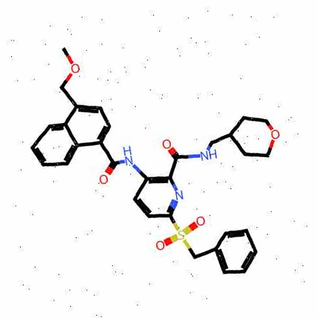 COCc1ccc(C(=O)Nc2ccc(S(=O)(=O)Cc3ccccc3)nc2C(=O)NCC2CCOCC2)c2ccccc12